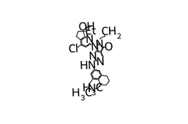 C=CCn1c(=O)c2cnc(Nc3cc4c5c(c3)CN(C)CC5(C)CCC4)nc2n1-c1cc(Cl)c2c(n1)C(O)(CC)CC2